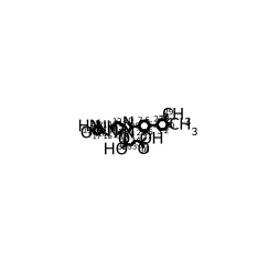 Cc1ccc(-c2ccc(-c3nc4ccn(Cc5cc(=O)[nH][nH]5)cc-4n3)cc2)cc1C.O=C(O)C=CC(=O)O